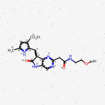 CCCOCCNC(=O)Cc1ncc2c(n1)/C(=C/c1[nH]c(C)cc1C(=O)OCC)C(=O)N2